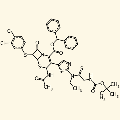 CCN(C(=S)CNC(=O)OC(C)(C)C)c1ncc(C2=C(C(=O)OC(c3ccccc3)c3ccccc3)N3C(=O)C(Sc4ccc(Cl)c(Cl)c4)C3SC2NC(C)=O)s1